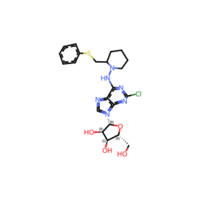 OC[C@H]1O[C@@H](n2cnc3c(NN4CCCCC4CSc4ccccc4)nc(Cl)nc32)[C@H](O)[C@@H]1O